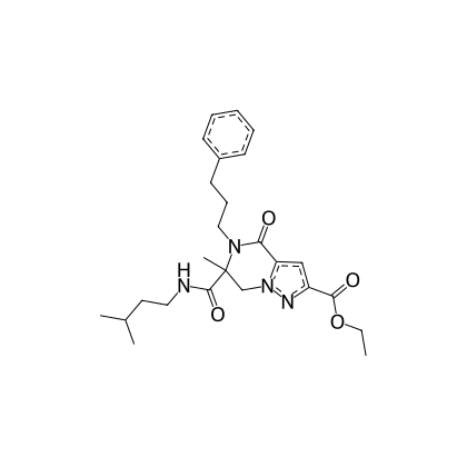 CCOC(=O)c1cc2n(n1)CC(C)(C(=O)NCCC(C)C)N(CCCc1ccccc1)C2=O